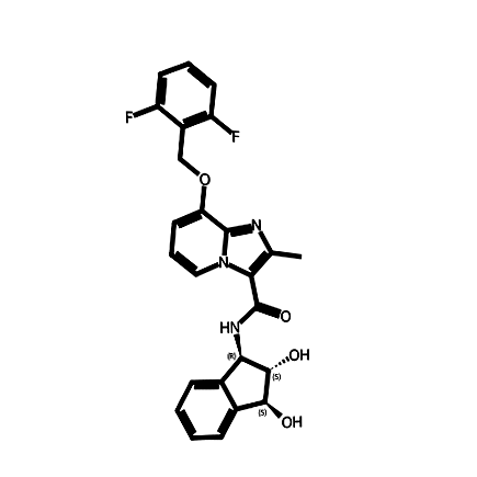 Cc1nc2c(OCc3c(F)cccc3F)cccn2c1C(=O)N[C@@H]1c2ccccc2[C@H](O)[C@H]1O